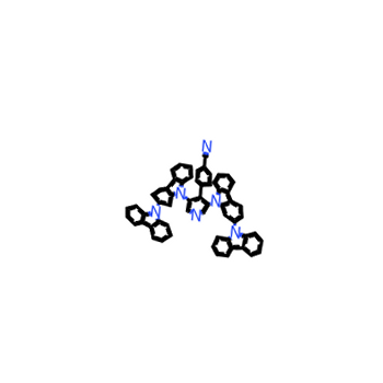 N#Cc1ccc(-c2c(-n3c4ccccc4c4ccc(-n5c6ccccc6c6ccccc65)cc43)cncc2-n2c3ccccc3c3ccc(-n4c5ccccc5c5ccccc54)cc32)cc1